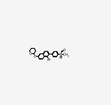 C[SH](=O)(C=O)c1ccc(-c2ccc3cc(OC4CCCCO4)ccc3c2Br)cc1